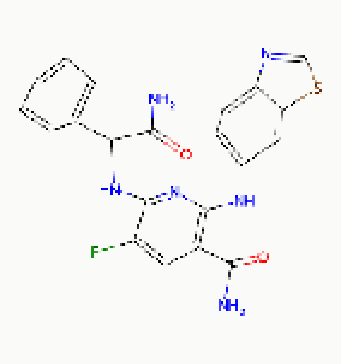 NC(=O)c1cc(F)c(NC(C(N)=O)c2ccccc2)nc1Nc1ccc2ncsc2c1